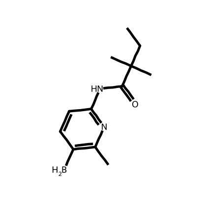 Bc1ccc(NC(=O)C(C)(C)CC)nc1C